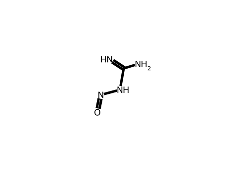 N=C(N)NN=O